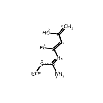 C=C(O)/C=C(CC)/N=C(/N)SCC